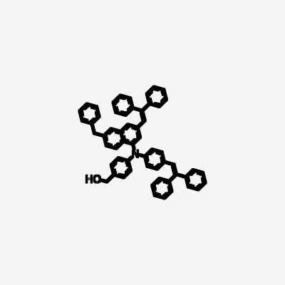 OCc1ccc(N(c2ccc(C=C(c3ccccc3)c3ccccc3)cc2)c2cc(C=C(c3ccccc3)c3ccccc3)cc3cc(Cc4ccccc4)ccc23)cc1